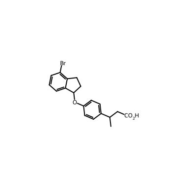 CC(CC(=O)O)c1ccc(OC2CCc3c(Br)cccc32)cc1